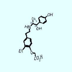 CCc1cc(CCN[C@@H](C)[C@@H](O)c2ccc(O)cc2)ccc1OCC(=O)O